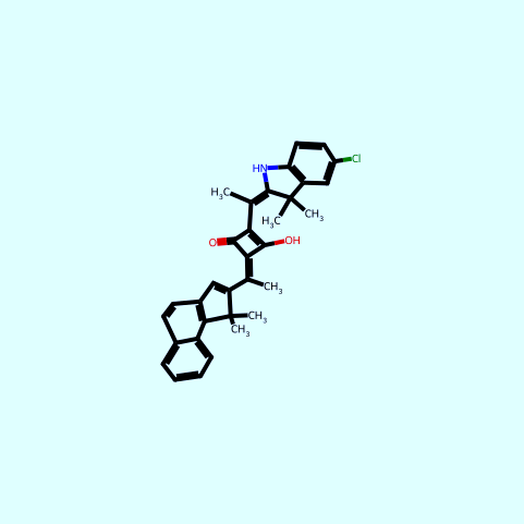 C/C(C1=Cc2ccc3ccccc3c2C1(C)C)=C1/C(=O)C(C(/C)=C2/Nc3ccc(Cl)cc3C2(C)C)=C1O